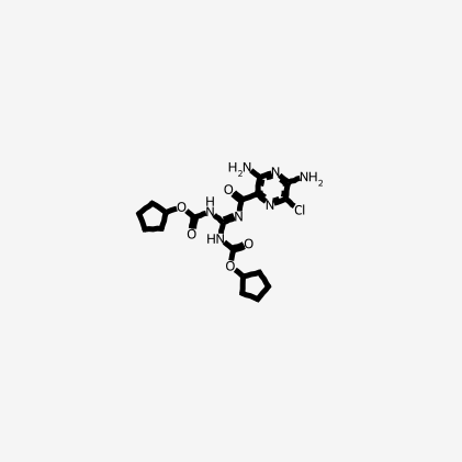 Nc1nc(N)c(C(=O)N=C(NC(=O)OC2CCCC2)NC(=O)OC2CCCC2)nc1Cl